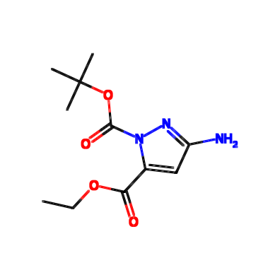 CCOC(=O)c1cc(N)nn1C(=O)OC(C)(C)C